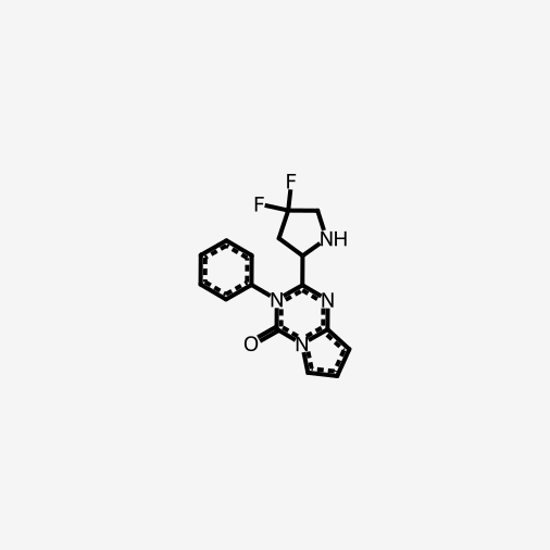 O=c1n(-c2ccccc2)c(C2CC(F)(F)CN2)nc2cccn12